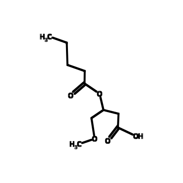 CCCCC(=O)OC(COC)CC(=O)O